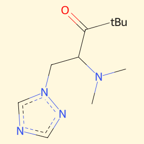 CN(C)C(Cn1cncn1)C(=O)C(C)(C)C